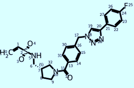 C=CS(=O)(=O)NC[C@H]1CCN(C(=O)c2ccc(Cn3cc(-c4ccc(F)cc4)nn3)cc2)C1